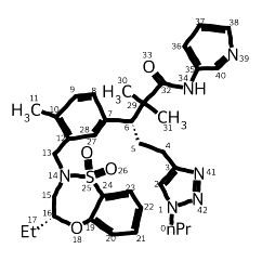 CCCn1cc(CC[C@H](c2ccc(C)c(CN3C[C@@H](CC)Oc4ccccc4S3(=O)=O)c2)C(C)(C)C(=O)Nc2cccnc2)nn1